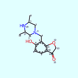 CC1CN(Cc2c(O)ccc3c2OCC3=O)CC(C)N1